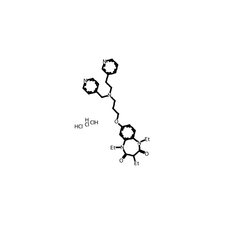 CCC1C(=O)N(CC)c2ccc(OCCCN(CCc3cccnc3)Cc3ccncc3)cc2N(CC)C1=O.Cl.Cl.Cl